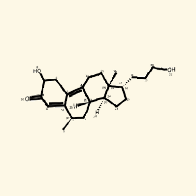 C[C@@H]1C[C@@H]2C(=C3CC(O)C(=O)C=C31)CC[C@]1(C)[C@H](CCCO)CC[C@@H]21